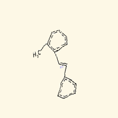 Cc1ccccc1/C=C/c1ccccc1